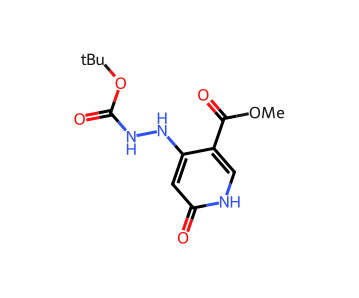 COC(=O)c1c[nH]c(=O)cc1NNC(=O)OC(C)(C)C